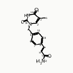 Cc1cn(Cc2ccc(/C=C/C(N)=O)cc2)c(=O)[nH]c1=O